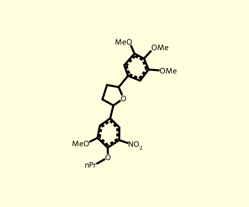 CCCOc1c(OC)cc(C2CCC(c3cc(OC)c(OC)c(OC)c3)O2)cc1[N+](=O)[O-]